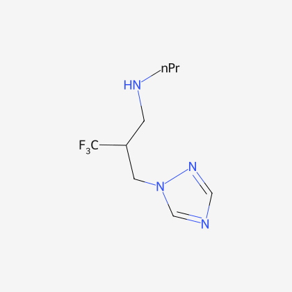 CCCNCC(Cn1cncn1)C(F)(F)F